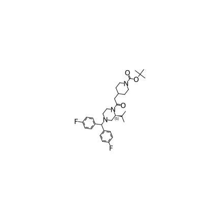 CC(C)[C@H]1CN(C(c2ccc(F)cc2)c2ccc(F)cc2)CCN1C(=O)CC1CCN(C(=O)OC(C)(C)C)CC1